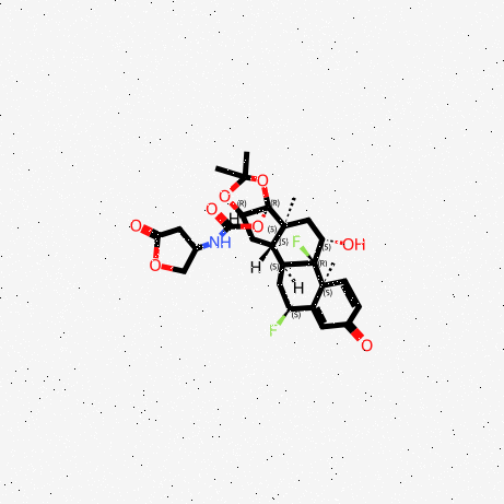 CC1(C)O[C@@H]2C[C@H]3[C@@H]4C[C@H](F)C5=CC(=O)C=C[C@]5(C)[C@@]4(F)[C@@H](O)C[C@]3(C)[C@]2(OC(=O)NC2COC(=O)C2)O1